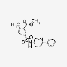 COC(=O)c1cc(S(=O)(=O)Nc2ccc(-c3ccccc3)nc2)ccc1C